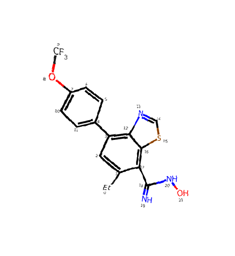 CCc1cc(-c2ccc(OC(F)(F)F)cc2)c2ncsc2c1C(=N)NO